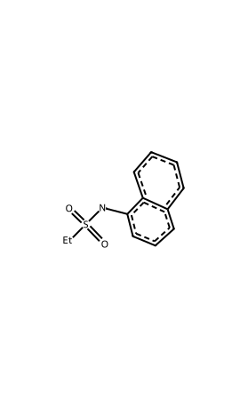 CCS(=O)(=O)[N]c1cccc2ccccc12